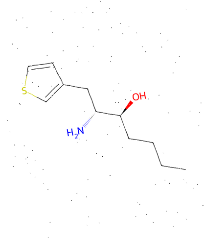 CCCC[C@H](O)[C@H](N)Cc1ccsc1